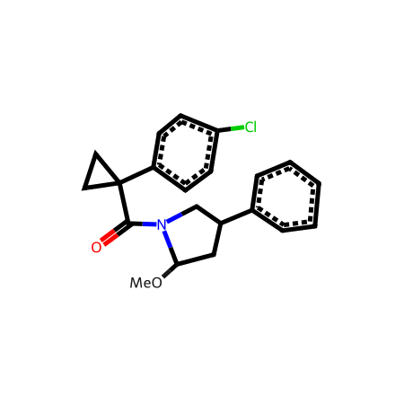 COC1CC(c2ccccc2)CN1C(=O)C1(c2ccc(Cl)cc2)CC1